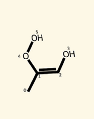 CC(=CO)OO